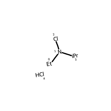 CCN(Cl)C(C)C.Cl